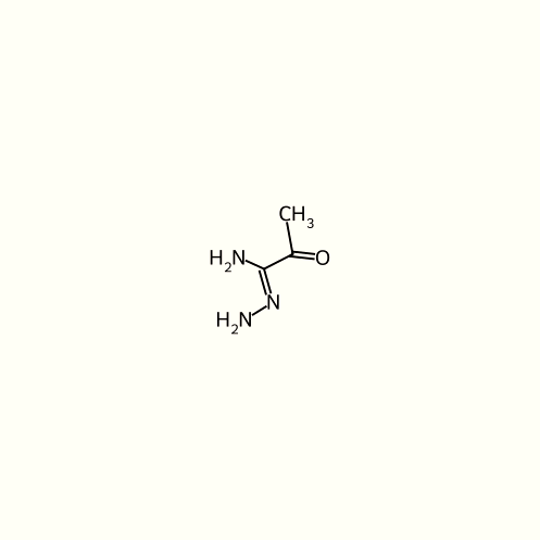 CC(=O)/C(N)=N/N